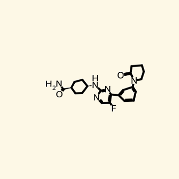 NC(=O)[C@H]1CC[C@H](Nc2ncc(F)c(-c3cccc(N4CCCCC4=O)c3)n2)CC1